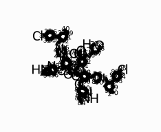 CC1(C)CCC(CN2CCN(c3ccc(ON(C(=O)c4ccc(N5CCN(CC6=C(c7ccc(Cl)cc7)CC(C)(C)CC6)CC5)cc4Oc4cnc5[nH]ccc5c4)S(=O)(=O)c4ccc(NCC5CCOCC5)c([N+](=O)[O-])c4)c(Oc4cnc5[nH]ccc5c4)c3)CC2)=C(c2ccc(Cl)cc2)C1